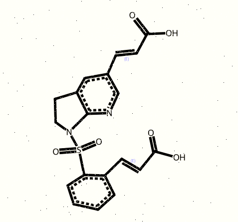 O=C(O)/C=C/c1cnc2c(c1)CCN2S(=O)(=O)c1ccccc1/C=C/C(=O)O